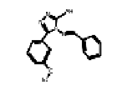 CCOc1cccc(-c2nnc(S)n2/N=C/c2ccccc2)c1